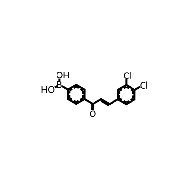 O=C(/C=C/c1ccc(Cl)c(Cl)c1)c1ccc(B(O)O)cc1